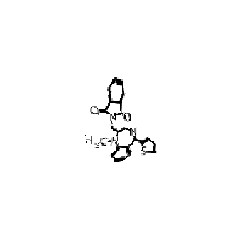 CN1c2ccccc2C(c2cccs2)=NCC1CN1C(=O)c2ccccc2C1=O